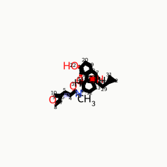 CN(C(=O)/C=C/c1ccoc1)[C@@H]1CC[C@@]2(O)[C@H]3Cc4ccc(O)c5c4[C@@]2(CCC3CC2CC2)[C@H]1O5